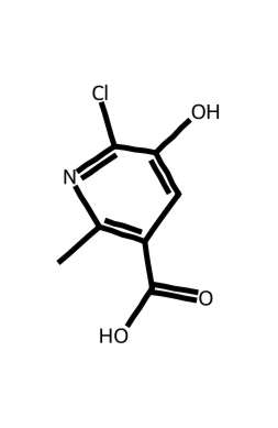 Cc1nc(Cl)c(O)cc1C(=O)O